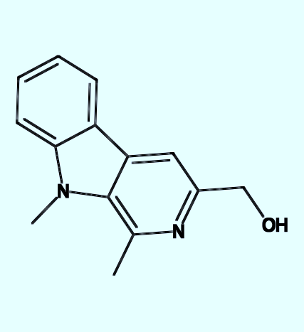 Cc1nc(CO)cc2c3ccccc3n(C)c12